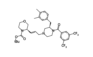 Cc1ccc(C[C@@H]2CN(C/C=C/[C@@H]3COCCN3C(=O)OC(C)(C)C)CCN2C(=O)c2cc(C(F)(F)F)cc(C(F)(F)F)c2)cc1C